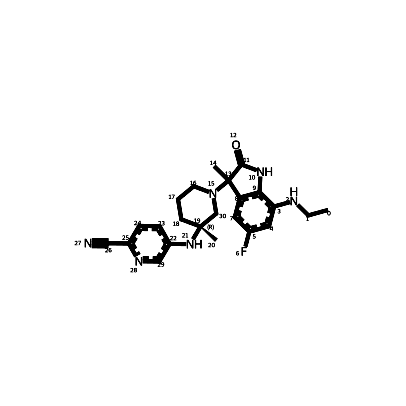 CCNc1cc(F)cc2c1NC(=O)C2(C)N1CCC[C@@](C)(Nc2ccc(C#N)nc2)C1